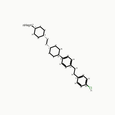 CCCCCCC[C@H]1CC[C@H](CC[C@H]2CC[C@H](c3ccc(CCc4ccc(Cl)cc4)cc3)CC2)CC1